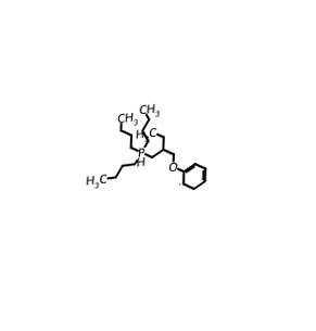 CCCC[PH](CCCC)(CCCC)CC(CC)COC1=CC=CC[CH]1